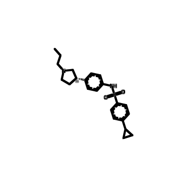 CCCN1CC[C@@H](c2ccc(NS(=O)(=O)c3ccc(C4CC4)cc3)cc2)C1